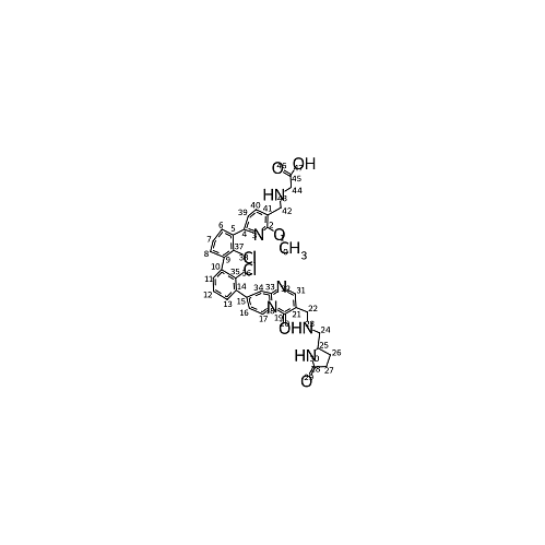 COc1nc(-c2cccc(-c3cccc(-c4ccn5c(=O)c(CNCC6CCC(=O)N6)cnc5c4)c3Cl)c2Cl)ccc1CNCC(=O)O